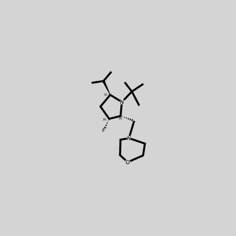 CC(C)[C@@H]1C[C@@H](F)[C@@H](CN2CCOCC2)N1C(C)(C)C